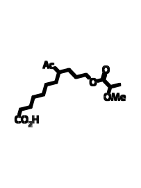 COC(C)C(=O)OCCCC(CCCCCCC(=O)O)C(C)=O